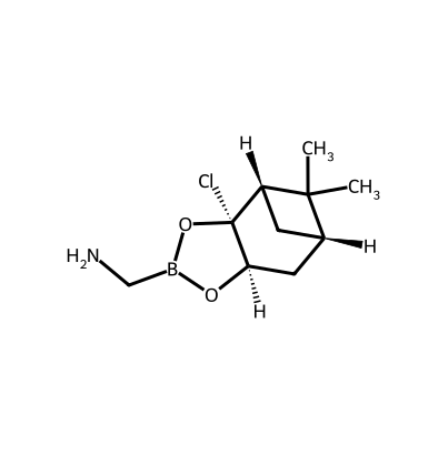 CC1(C)[C@@H]2C[C@H]3OB(CN)O[C@@]3(Cl)[C@H]1C2